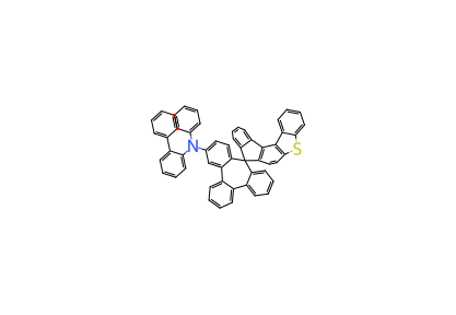 c1ccc(-c2ccccc2N(c2ccccc2)c2ccc3c(c2)-c2ccccc2-c2ccccc2C32c3ccccc3-c3c2ccc2sc4ccccc4c32)cc1